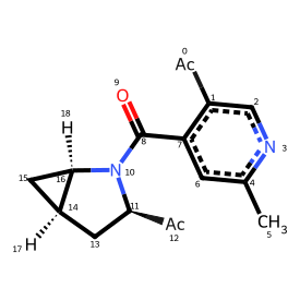 CC(=O)c1cnc(C)cc1C(=O)N1[C@@H](C(C)=O)C[C@H]2C[C@H]21